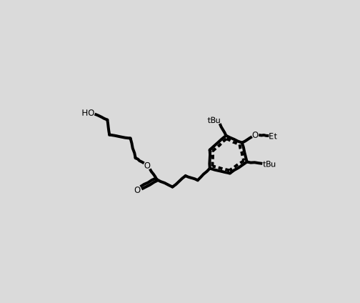 CCOc1c(C(C)(C)C)cc(CCCC(=O)OCCCCO)cc1C(C)(C)C